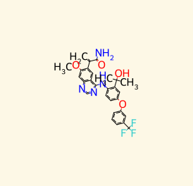 C=C(C(N)=O)c1cc2c(Nc3ccc(Oc4cccc(C(F)(F)F)c4)cc3C(C)(C)O)ncnc2cc1OC